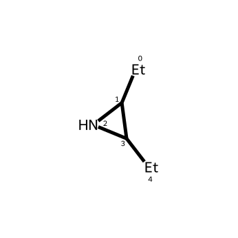 CCC1NC1CC